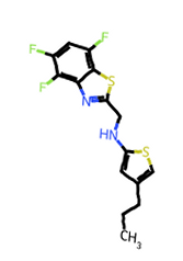 CCCc1csc(NCc2nc3c(F)c(F)cc(F)c3s2)c1